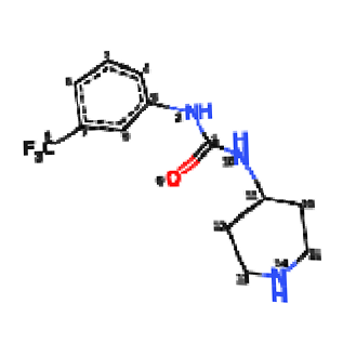 O=C(Nc1cccc(C(F)(F)F)c1)NC1CCNCC1